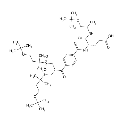 CC(COC(C)(C)C)NC(=O)[C@H](CCC(=O)O)NC(=O)c1ccc(C(=O)C(CSC(C)(C)CCOC(C)(C)C)CS(=O)(=O)C(C)(C)CCOC(C)(C)C)cc1